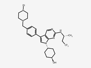 CCN1CCN(Cc2ccc(-c3cn([C@H]4CC[C@H](O)CC4)c4nc(N[C@H](C)CC(F)(F)F)ncc34)cc2)CC1